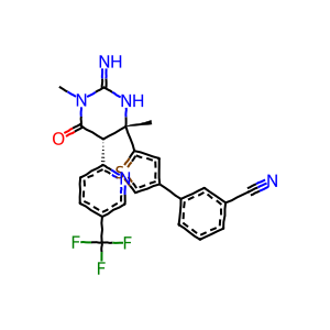 CN1C(=N)N[C@](C)(c2cc(-c3cccc(C#N)c3)cs2)[C@H](c2ccc(C(F)(F)F)cn2)C1=O